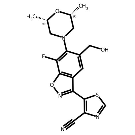 C[C@@H]1CN(c2c(CO)cc3c(-c4scnc4C#N)noc3c2F)C[C@H](C)O1